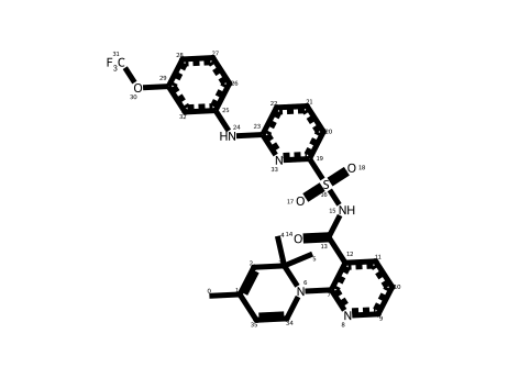 CC1=CC(C)(C)N(c2ncccc2C(=O)NS(=O)(=O)c2cccc(Nc3cccc(OC(F)(F)F)c3)n2)C=C1